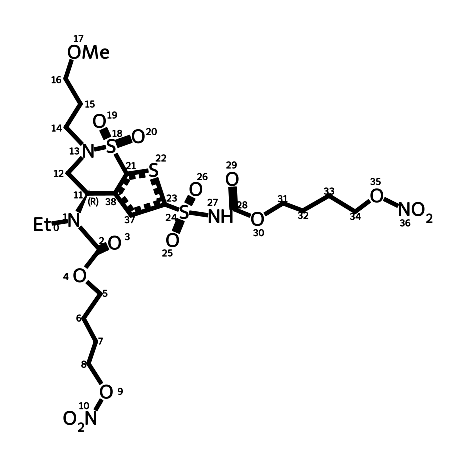 CCN(C(=O)OCCCCO[N+](=O)[O-])[C@H]1CN(CCCOC)S(=O)(=O)c2sc(S(=O)(=O)NC(=O)OCCCCO[N+](=O)[O-])cc21